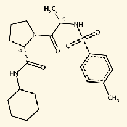 Cc1ccc(S(=O)(=O)N[C@@H](C)C(=O)N2CCC[C@H]2C(=O)NC2CCCCC2)cc1